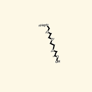 CCCCCCCCOCCOCCOCCOO